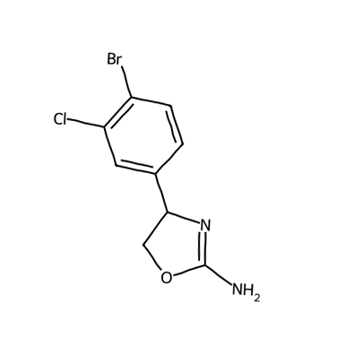 NC1=NC(c2ccc(Br)c(Cl)c2)CO1